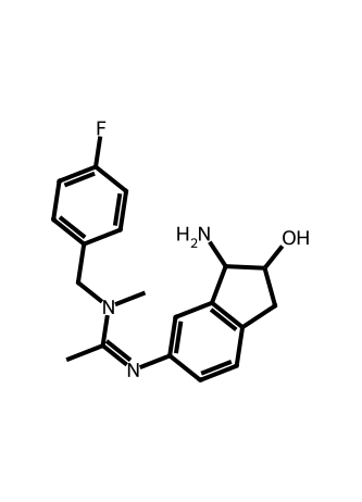 CC(=Nc1ccc2c(c1)C(N)C(O)C2)N(C)Cc1ccc(F)cc1